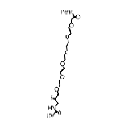 CCCC(C)C(=O)COCCOCCOCCOCCOCCOCC(F)CNC(=O)C(C)C